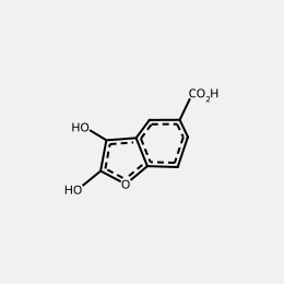 O=C(O)c1ccc2oc(O)c(O)c2c1